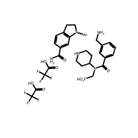 CC(=O)N1CCc2ccc(C(N)=O)cc21.NCc1cccc(C(=O)N(CC(=O)O)C2CCNCC2)c1.O=C(O)C(F)(F)F.O=C(O)C(F)(F)F